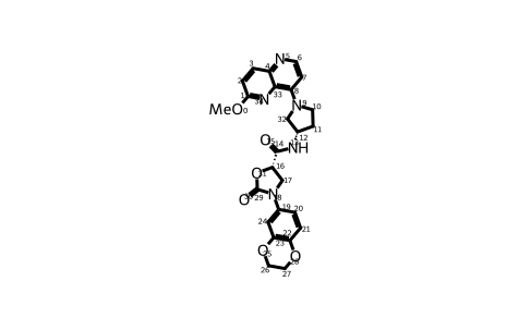 COc1ccc2nccc(N3CC[C@H](NC(=O)[C@@H]4CN(c5ccc6c(c5)OCCO6)C(=O)O4)C3)c2n1